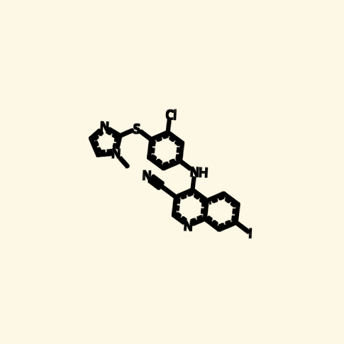 Cn1ccnc1Sc1ccc(Nc2c(C#N)cnc3cc(I)ccc23)cc1Cl